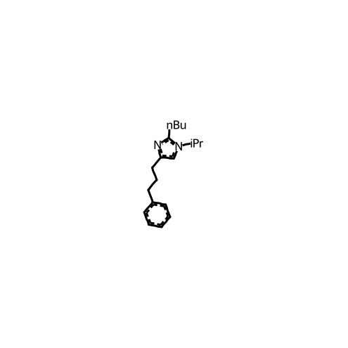 CCCCc1nc(CCCc2ccccc2)cn1C(C)C